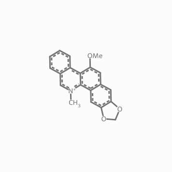 COc1cc2cc3c(cc2c2c1c1ccccc1c[n+]2C)OCO3